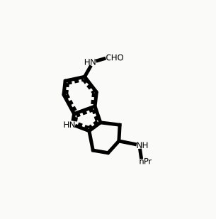 CCCNC1CCc2[nH]c3ccc(NC=O)cc3c2C1